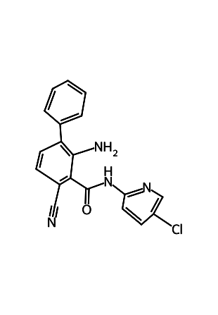 N#Cc1ccc(-c2ccccc2)c(N)c1C(=O)Nc1ccc(Cl)cn1